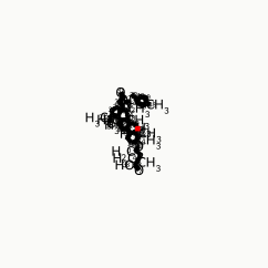 C=C(CC(C)(C)C(=O)O)O[C@H]1CCC2(C)[C@H]3CCC4(C)C5=C(C(C)C)CC[C@]5(c5cc(=O)n(Cc6ccc(C)cc6)n5C)CC[C@@]4(C)[C@]3(C)CC[C@H]2C1(C)C